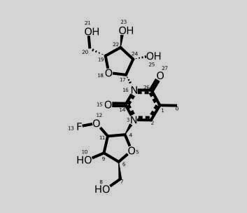 Cc1cn([C@H]2O[C@@H](CO)C(O)C2OF)c(=O)n([C@@H]2O[C@H](CO)[C@@H](O)[C@@H]2O)c1=O